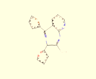 CNC1=Nc2ncccc2C(c2cccs2)=NC1c1ccco1